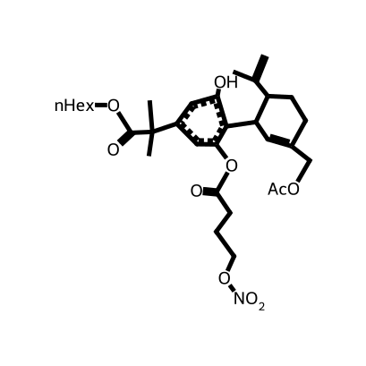 C=C(C)C1CCC(COC(C)=O)=CC1c1c(O)cc(C(C)(C)C(=O)OCCCCCC)cc1OC(=O)CCCO[N+](=O)[O-]